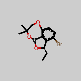 CC[C@H]1OB2OC(C)(C)COc3ccc(Br)c1c32